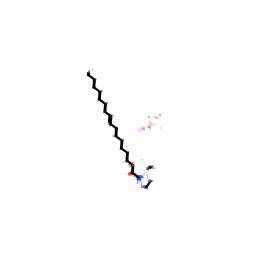 CCCCCCCCC=CCCCCCCCC(=O)C1=NCCN1C(C)O.N.O=S(=O)(O)O